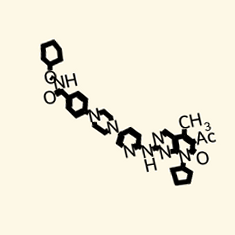 CC(=O)c1c(C)c2cnc(Nc3ccc(N4CCN(c5ccc(C(=O)NOC6CCCCC6)cc5)CC4)cn3)nc2n(C2CCCC2)c1=O